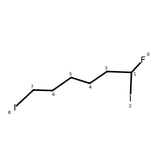 FC(I)CCCCCI